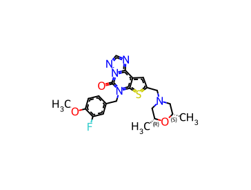 COc1ccc(Cn2c(=O)n3ncnc3c3cc(CN4C[C@@H](C)O[C@@H](C)C4)sc32)cc1F